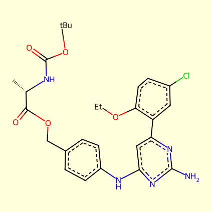 CCOc1ccc(Cl)cc1-c1cc(Nc2ccc(COC(=O)[C@H](C)NC(=O)OC(C)(C)C)cc2)nc(N)n1